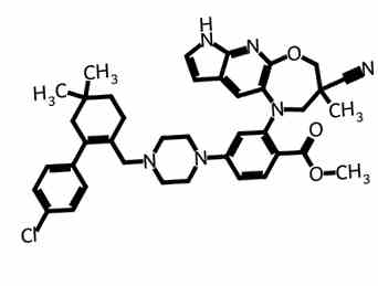 COC(=O)c1ccc(N2CCN(CC3=C(c4ccc(Cl)cc4)CC(C)(C)CC3)CC2)cc1N1CC(C)(C#N)COc2nc3[nH]ccc3cc21